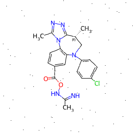 CC(=N)NOC(=O)c1ccc2c(c1)N(c1ccc(Cl)cc1)C[C@@H](C)c1nnc(C)n1-2